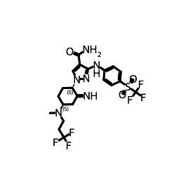 CN(CCC(F)(F)F)[C@H]1CC[C@H](n2cc(C(N)=O)c(Nc3ccc(S(=O)(=O)C(F)(F)F)cc3)n2)C(=N)C1